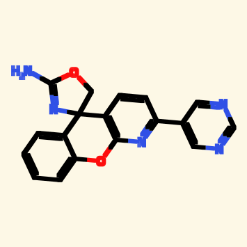 NC1=NC2(CO1)c1ccccc1Oc1nc(-c3cncnc3)ccc12